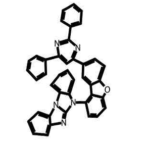 c1ccc(-c2cc(-c3ccc4oc5cccc(-n6c7ccccc7n7c8ccccc8nc67)c5c4c3)nc(-c3ccccc3)n2)cc1